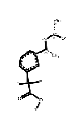 CC(C)OC(=O)C(F)(F)c1cccc([C@@H](C)N[S@@+]([O-])C(C)(C)C)c1